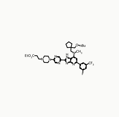 CCCCOCC1(CN(C)c2cc(-c3cc(F)cc(C(F)(F)F)c3)nc3nc(-c4cnc(N5CCN(CCC(=O)OCC)CC5)cn4)[nH]c23)CCCC1